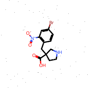 O=C(O)C1(Cc2ccc(Br)cc2[N+](=O)[O-])CCNC1